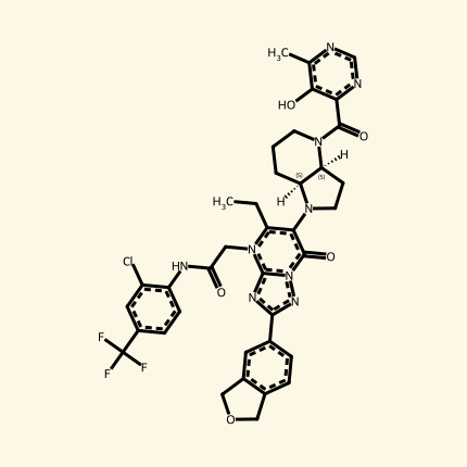 CCc1c(N2CC[C@H]3[C@@H]2CCCN3C(=O)c2ncnc(C)c2O)c(=O)n2nc(-c3ccc4c(c3)COC4)nc2n1CC(=O)Nc1ccc(C(F)(F)F)cc1Cl